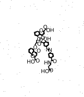 O=C(O)CCNC(=O)c1ccc(/N=N/c2ccc(O)c(C(=O)OC(COc3cccc4oc(C(=O)O)cc(=O)c34)COc3cccc4oc(C(=O)O)cc(=O)c34)c2)cc1